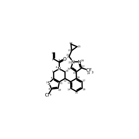 C=CC(=O)N1Cc2sc(Cl)cc2C(c2ccccc2-c2cn(CC3CC3)nc2C(F)(F)F)C1